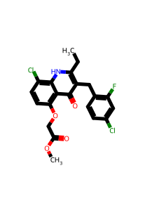 CCc1[nH]c2c(Cl)ccc(OCC(=O)OC)c2c(=O)c1Cc1ccc(Cl)cc1F